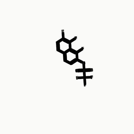 O=S(=O)(Oc1ccc2ccc(F)c(F)c2c1F)C(F)(F)F